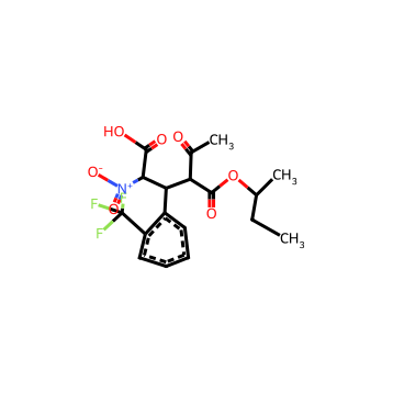 CCC(C)OC(=O)C(C(C)=O)C(c1ccccc1C(F)(F)F)C(C(=O)O)[N+](=O)[O-]